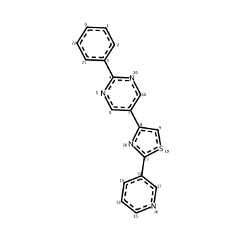 c1ccc(-c2ncc(-c3csc(-c4cccnc4)n3)cn2)cc1